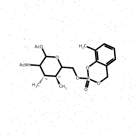 CC(=O)NC1C(OC(C)=O)OC(COP2(=O)OCc3cccc(C)c3O2)[C@@H](C)[C@@H]1C